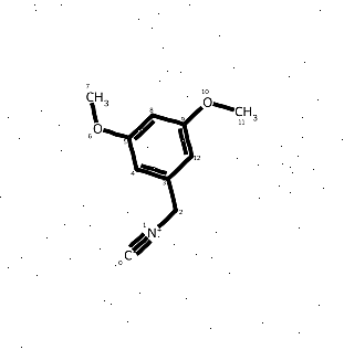 [C-]#[N+]Cc1cc(OC)cc(OC)c1